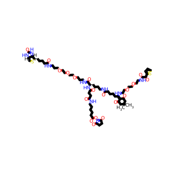 CC1(C)CC(=O)C(=C(CCCCC(=O)NCCCC[C@H](NC(=O)CCC(=O)NCCCCCC(=O)ON2C(=O)CCC2=O)C(=O)NCCCOCCOCCOCCCNC(=O)CCCC[C@@H]2SC[C@@H]3NC(=O)N[C@@H]32)NCCOCCOCCNC(=O)C(=O)c2cccs2)C(=O)C1